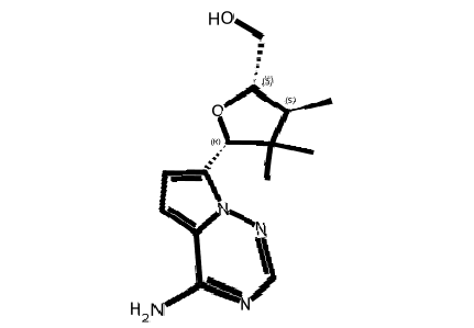 C[C@@H]1[C@@H](CO)O[C@@H](c2ccc3c(N)ncnn23)C1(C)C